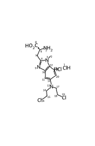 Cl.Cl.Cn1c(C[C@H](N)C(=O)O)nc2cc(N(CCCl)CCCl)ccc21